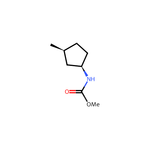 COC(=O)N[C@@H]1CC[C@H](C)C1